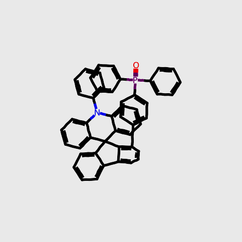 O=P(c1ccccc1)(c1ccccc1)c1ccc(-c2cccc3c2C2(c4ccccc4-3)c3ccccc3N(c3ccccc3)c3ccccc32)cc1